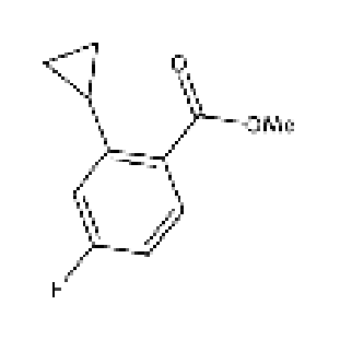 COC(=O)c1ccc(F)cc1C1CC1